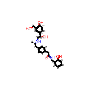 C[C@H](Cc1ccc(CC(=O)NCc2ccccc2O)cc1)NC[C@@H](O)c1ccc(O)c(CO)c1